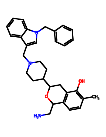 Cc1ccc2c(c1O)CC(C1CCN(Cc3cn(Cc4ccccc4)c4ccccc34)CC1)OC2CN